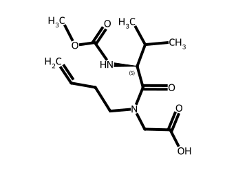 C=CCCN(CC(=O)O)C(=O)[C@@H](NC(=O)OC)C(C)C